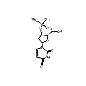 CC(C)(C)[Si](C)(C)OC1C[C@H](n2ccc(=O)[nH]c2=O)O[C@@H]1CO